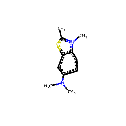 Cc1sc2cc(N(C)C)ccc2[n+]1C